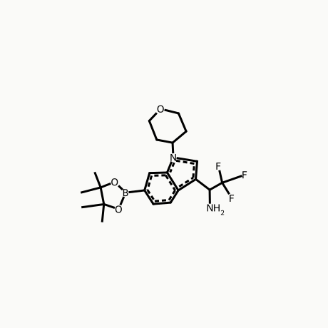 CC1(C)OB(c2ccc3c(C(N)C(F)(F)F)cn(C4CCOCC4)c3c2)OC1(C)C